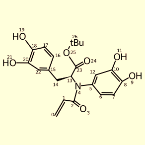 C=CC(=O)N(c1ccc(O)c(O)c1)[C@@H](Cc1ccc(O)c(O)c1)C(=O)OC(C)(C)C